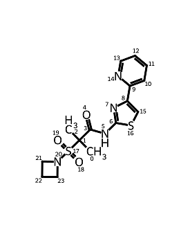 CC(C)(C(=O)Nc1nc(-c2ccccn2)cs1)S(=O)(=O)N1CCC1